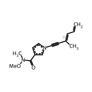 C=C/C=C(\C)C#Cn1ccc(C(=O)N(C)OC)c1